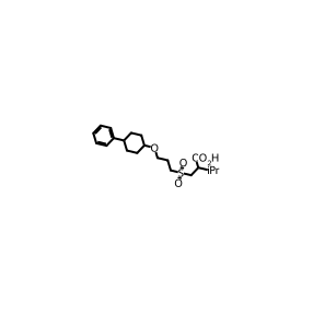 CC(C)C(CS(=O)(=O)CCCOC1CCC(c2ccccc2)CC1)C(=O)O